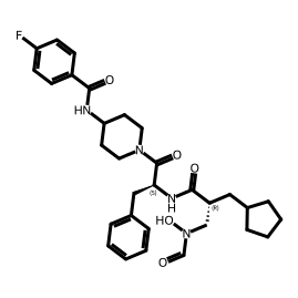 O=CN(O)C[C@@H](CC1CCCC1)C(=O)N[C@@H](Cc1ccccc1)C(=O)N1CCC(NC(=O)c2ccc(F)cc2)CC1